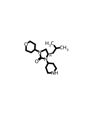 CC(C)C[C@@H]1CN(C2CCOCC2)C(=O)N1C1CCNCC1